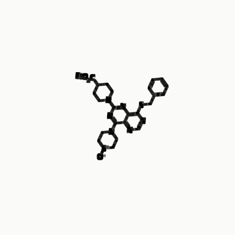 CCOC(=O)C1CCN(c2nc(N3CC[S+]([O-])CC3)c3ncnc(SCc4ccccc4)c3n2)CC1